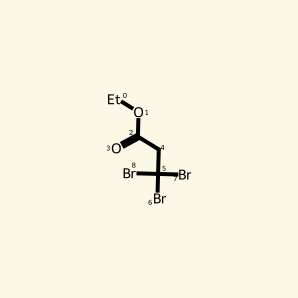 CCOC(=O)CC(Br)(Br)Br